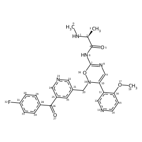 CN[C@@H](C)C(=O)NC1=NC=C(c2cnccc2OC)N(Cc2cncc(C(=O)c3ccc(F)cc3)c2)O1